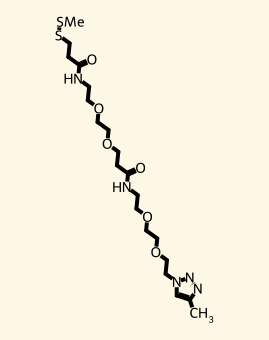 CSSCCC(=O)NCCOCCOCCC(=O)NCCOCCOCCn1cc(C)nn1